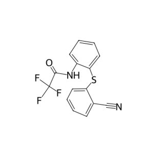 N#Cc1ccccc1Sc1ccccc1NC(=O)C(F)(F)F